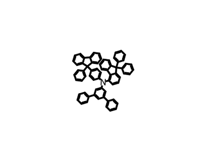 c1ccc(-c2cc(-c3ccccc3)cc(N(c3ccc(C4(c5ccccc5)c5ccccc5-c5ccccc54)cc3)c3cccc4c3-c3ccccc3C4(c3ccccc3)c3ccccc3)c2)cc1